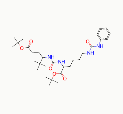 CC(C)(C)OC(=O)CCC(NC(=O)NC(CCCCNC(=O)Nc1ccccc1)C(=O)OC(C)(C)C)C(C)(C)C